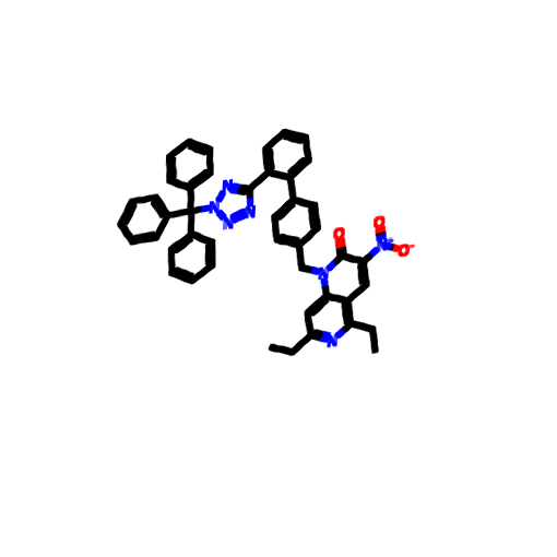 CCc1cc2c(cc([N+](=O)[O-])c(=O)n2Cc2ccc(-c3ccccc3-c3nnn(C(c4ccccc4)(c4ccccc4)c4ccccc4)n3)cc2)c(CC)n1